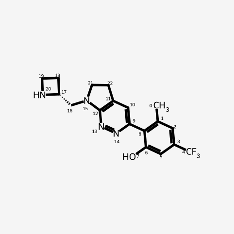 Cc1cc(C(F)(F)F)cc(O)c1-c1cc2c(nn1)N(C[C@H]1CCN1)CC2